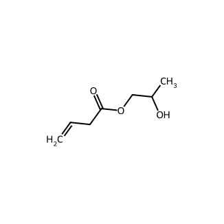 C=CCC(=O)OCC(C)O